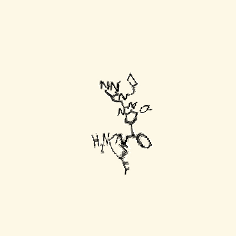 COc1cc(C(=O)N2C[C@H](N)C[C@@H](F)C2)cc2nc(-c3cc4cnn(C)c4n3CC3CCC3)n(C)c12